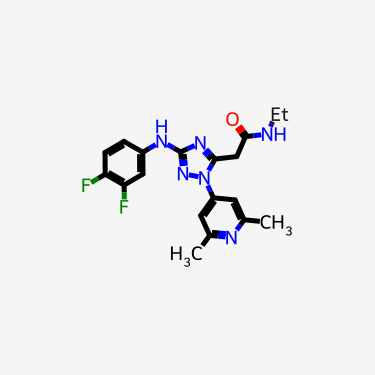 CCNC(=O)Cc1nc(Nc2ccc(F)c(F)c2)nn1-c1cc(C)nc(C)c1